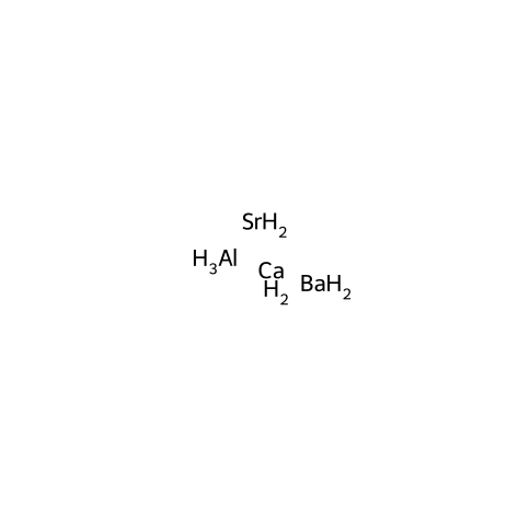 [AlH3].[BaH2].[CaH2].[SrH2]